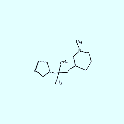 CC(C)(C)N1CCCC(CC(C)(C)N2CCCC2)C1